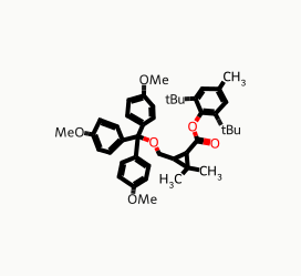 COc1ccc(C(OCC2C(C(=O)Oc3c(C(C)(C)C)cc(C)cc3C(C)(C)C)C2(C)C)(c2ccc(OC)cc2)c2ccc(OC)cc2)cc1